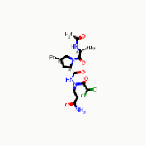 CC(C)[C@@H]1C[C@@H](C(=O)NN(CCC(N)=O)C(=O)C(Cl)Cl)N(C(=O)[C@@H](NC(=O)C(F)(F)F)C(C)(C)C)C1